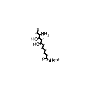 CCCCCCCC(F)CCCCCC(O)CC(O)[C@@H](N)CF